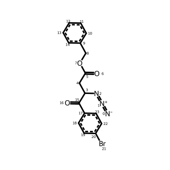 [N-]=[N+]=NC(CC(=O)OCc1ccccc1)C(=O)c1ccc(Br)cc1